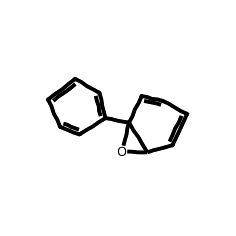 C1=CC2OC2(c2ccccc2)C=C1